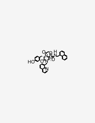 C[C@H]1[C@@H]2N(C(=O)NCc3cccc4ccccc34)OCC(=O)N2[C@@H](Cc2ccc(O)cc2)C(=O)N1Cc1cccc2cccnc12